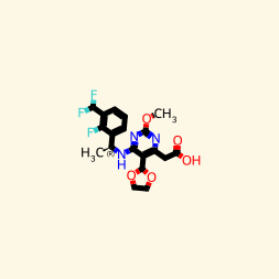 COc1nc(CC(=O)O)c(C2OCCO2)c(N[C@H](C)c2cccc(C(F)F)c2F)n1